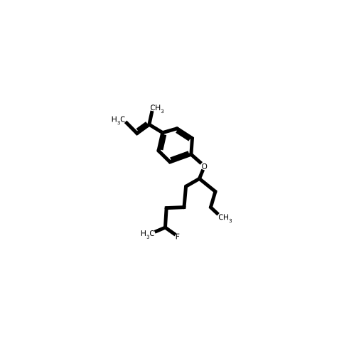 CC=C(C)c1ccc(OC(CCC)CCCC(C)F)cc1